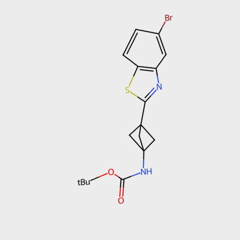 CC(C)(C)OC(=O)NC12CC(c3nc4cc(Br)ccc4s3)(C1)C2